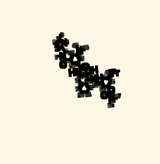 Cc1csc(CN(C)C(=O)c2cc(C(=O)N[C@@H](Cc3ccccc3)[C@H](O)CNCc3cc(OC(=O)N(C)C)cc(C(C)C)c3)cc(N(C)C)c2)n1